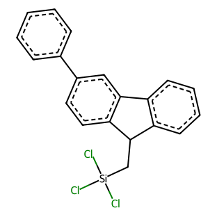 Cl[Si](Cl)(Cl)CC1c2ccccc2-c2cc(-c3ccccc3)ccc21